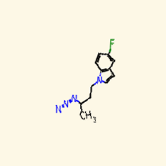 CC(CCn1ccc2cc(F)ccc21)N=[N+]=[N-]